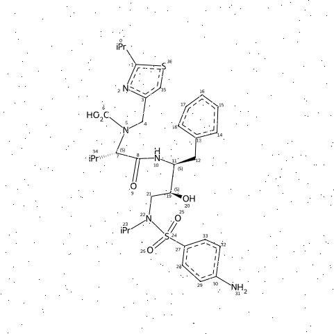 CC(C)c1nc(CN(C(=O)O)[C@H](C(=O)N[C@@H](Cc2ccccc2)[C@@H](O)CN(C(C)C)S(=O)(=O)c2ccc(N)cc2)C(C)C)cs1